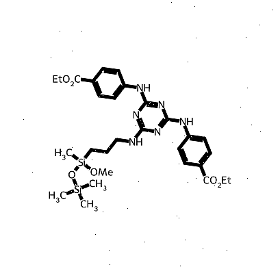 CCOC(=O)c1ccc(Nc2nc(NCCC[Si](C)(OC)O[Si](C)(C)C)nc(Nc3ccc(C(=O)OCC)cc3)n2)cc1